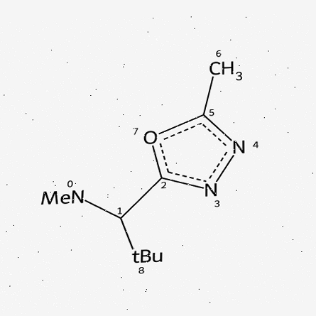 CNC(c1nnc(C)o1)C(C)(C)C